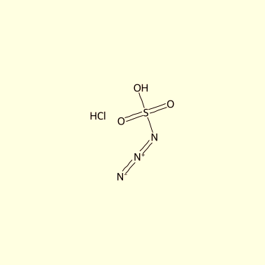 Cl.[N-]=[N+]=NS(=O)(=O)O